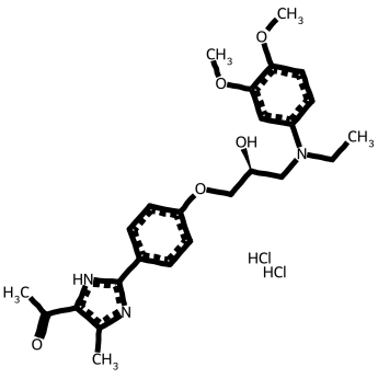 CCN(C[C@H](O)COc1ccc(-c2nc(C)c(C(C)=O)[nH]2)cc1)c1ccc(OC)c(OC)c1.Cl.Cl